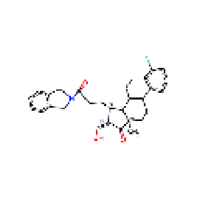 C[C@]12CCC3c4cccc(F)c4CCC3C1[C@H](CCC(=O)N1Cc3ccccc3C1)/C(=C/O)C2=O